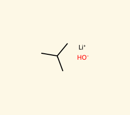 C[C](C)C.[Li+].[OH-]